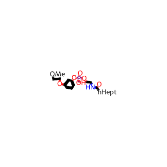 CCCCCCCC(=O)NCCOP(=O)(O)Oc1cccc(OCCOC)c1